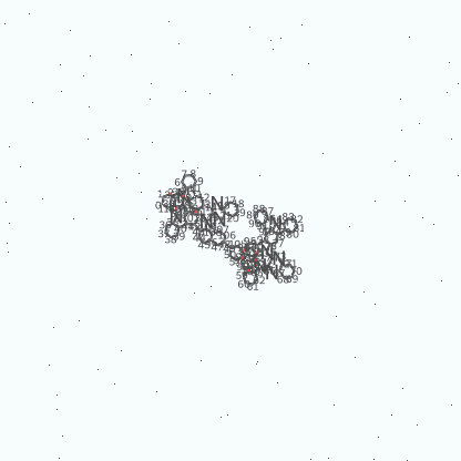 c1ccc(-n2c3ccccc3c3cc(-c4nc5ccccc5nc4-n4c5cc6c7ccccc7n7c8ccccc8c(c5c5ccc8cc(-c9ccc%10c(ccc%11c%10c%10ccccc%10n%11-c%10nc%11ccccc%11nc%10-n%10c%11cc%12c%13ccccc%13n%13c%14ccccc%14c(c%11c%11ccc%14ccccc%14c%11%10)c%12%13)c9)ccc8c54)c67)ccc32)cc1